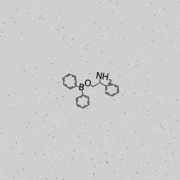 NC(COB(c1ccccc1)c1ccccc1)c1ccccc1